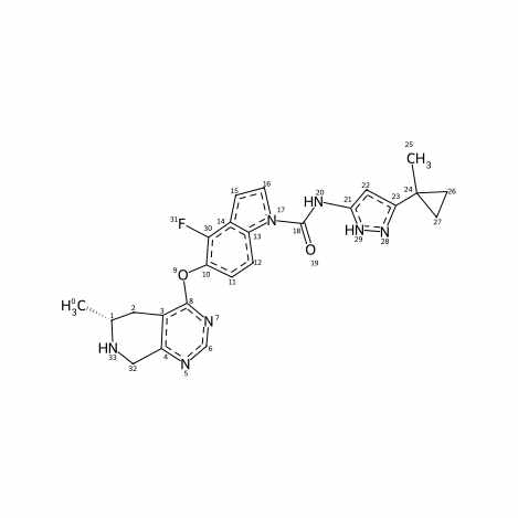 C[C@@H]1Cc2c(ncnc2Oc2ccc3c(ccn3C(=O)Nc3cc(C4(C)CC4)n[nH]3)c2F)CN1